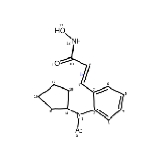 CC(=O)N(c1ccccc1/C=C/C(=O)NO)C1CCCC1